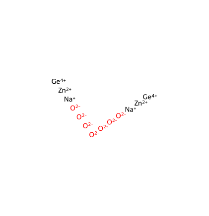 [Ge+4].[Ge+4].[Na+].[Na+].[O-2].[O-2].[O-2].[O-2].[O-2].[O-2].[O-2].[Zn+2].[Zn+2]